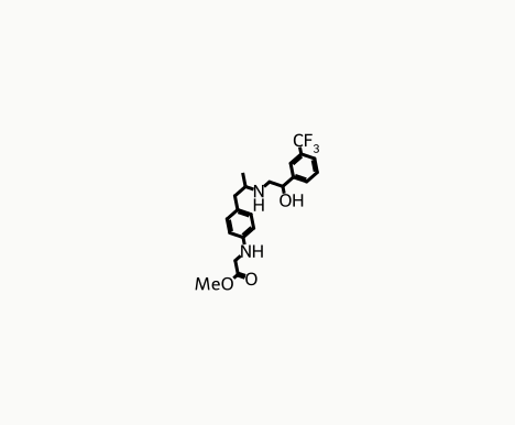 COC(=O)CNc1ccc(CC(C)NCC(O)c2cccc(C(F)(F)F)c2)cc1